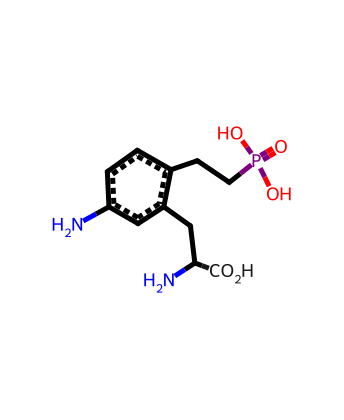 Nc1ccc(CCP(=O)(O)O)c(CC(N)C(=O)O)c1